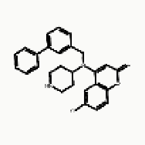 O=c1cc(N(Cc2cccc(-c3ccccc3)c2)C2CCNCC2)c2cc(Cl)ccc2o1